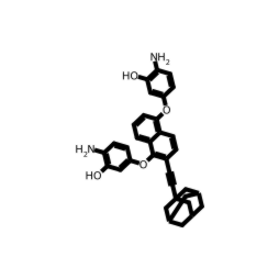 Nc1ccc(Oc2cccc3c(Oc4ccc(N)c(O)c4)c(C#CC45CC6CC(CC(C6)C4)C5)ccc23)cc1O